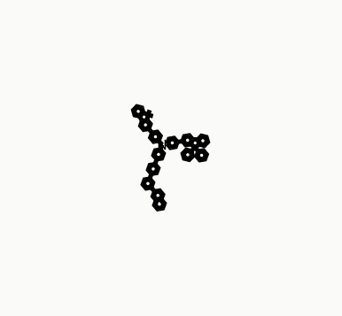 CC1(C)c2ccccc2-c2ccc(-c3ccc(N(c4ccc(-c5ccc(-c6cccc(-c7ccc8ccccc8c7)c6)cc5)cc4)c4ccc(-c5ccc6c(c5)C(c5ccccc5)(c5ccccc5)c5ccccc5-6)cc4)cc3)cc21